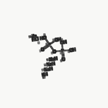 Cl.O=P(O)(O)OP(=O)(O)O.[KH].[NaH].[NaH].[NaH].[Zn]